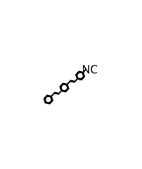 [C-]#[N+]c1ccc(C=Cc2ccc(C=Cc3ccccc3)cc2)cc1